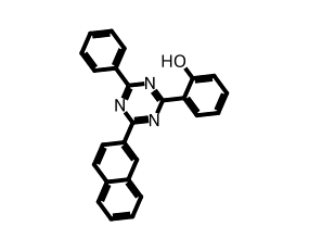 Oc1ccccc1-c1nc(-c2ccccc2)nc(-c2ccc3ccccc3c2)n1